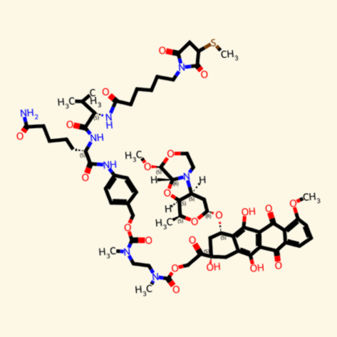 COc1cccc2c1C(=O)c1c(O)c3c(c(O)c1C2=O)C[C@@](O)(C(=O)COC(=O)N(C)CCN(C)C(=O)OCc1ccc(NC(=O)[C@H](CCCCC(N)=O)NC(=O)[C@@H](NC(=O)CCCCCN2C(=O)CC(SC)C2=O)C(C)C)cc1)C[C@@H]3O[C@H]1C[C@H]2[C@H](O[C@@H]3[C@@H](OC)OCCN32)[C@H](C)O1